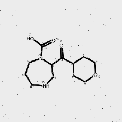 O=C(C1CCOCC1)C1CNCCCN1C(=O)O